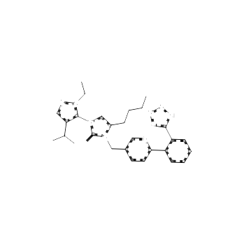 CCCCc1cn(-c2c(C(C)C)cnn2CC)c(=O)n1Cc1ccc(-c2ccccc2-c2nnn[nH]2)nc1